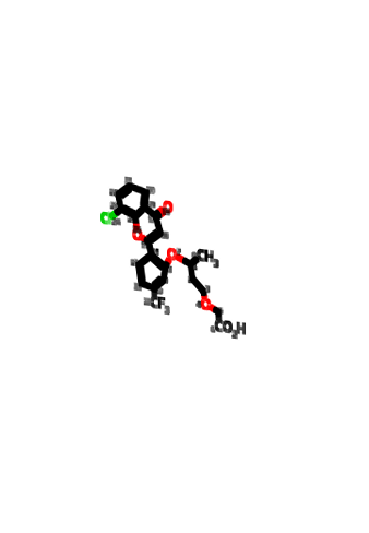 CC(CCOCC(=O)O)Oc1cc(C(F)(F)F)ccc1-c1cc(=O)c2cccc(Cl)c2o1